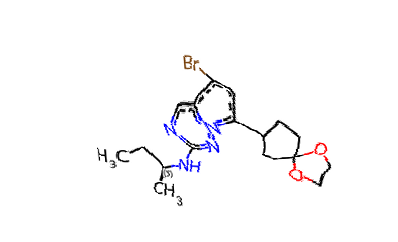 CC[C@H](C)Nc1ncc2c(Br)cc(C3CCC4(CC3)OCCO4)n2n1